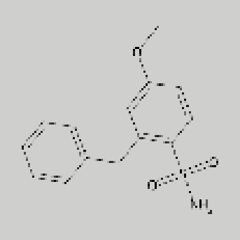 COc1ccc(S(N)(=O)=O)c(Cc2ccccc2)c1